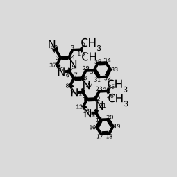 CC(C)Cc1nc(-c2cnc(-c3cnc(-c4ccccc4)nc3CC(C)C)nc2Cc2ccccc2)ncc1C#N